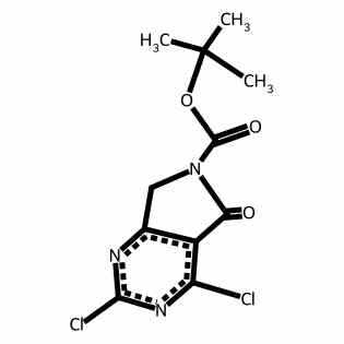 CC(C)(C)OC(=O)N1Cc2nc(Cl)nc(Cl)c2C1=O